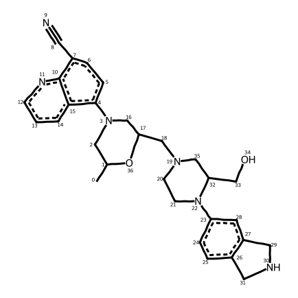 CC1CN(c2ccc(C#N)c3ncccc23)CC(CN2CCN(c3ccc4c(c3)CNC4)C(CO)C2)O1